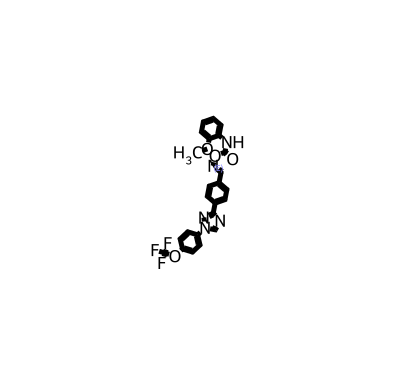 COc1ccccc1NC(=O)O/N=C/c1ccc(-c2ncn(-c3ccc(OC(F)(F)F)cc3)n2)cc1